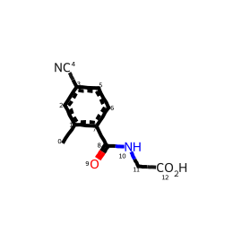 Cc1cc(C#N)ccc1C(=O)NCC(=O)O